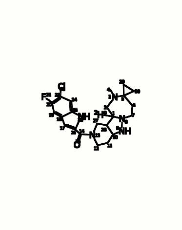 [2H]C12CN(C)C3(CCN1NC1CCN(C(=O)c4cc5cc(F)c(Cl)cc5[nH]4)CC12)CC3